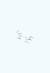 O=[N+]([O-])c1ccc(OCC(COP(=O)(O)O)OP(=O)(O)O)c([N+](=O)[O-])c1